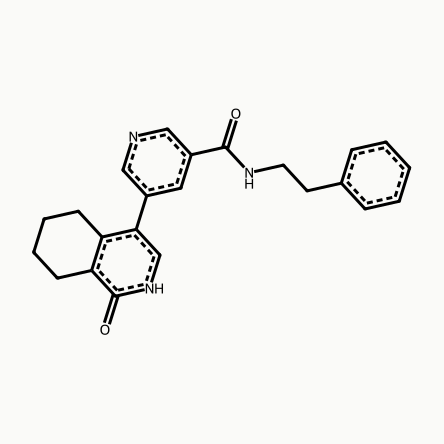 O=C(NCCc1ccccc1)c1cncc(-c2c[nH]c(=O)c3c2CCCC3)c1